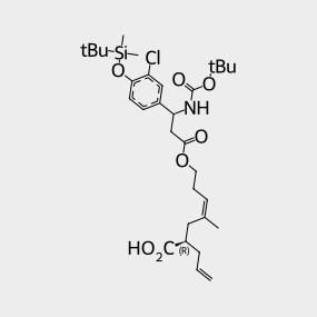 C=CC[C@H](CC(C)=CCCOC(=O)CC(NC(=O)OC(C)(C)C)c1ccc(O[Si](C)(C)C(C)(C)C)c(Cl)c1)C(=O)O